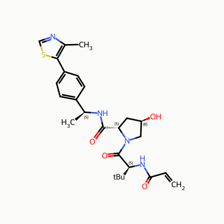 C=CC(=O)N[C@H](C(=O)N1C[C@H](O)C[C@H]1C(=O)N[C@@H](C)c1ccc(-c2scnc2C)cc1)C(C)(C)C